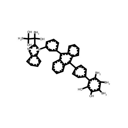 Bc1c(B)c(O)c(O)c(-c2ccc(-c3c4ccccc4c(-c4cccc(-n5c(C(B)(O)C(B)(O)O)nc6ccccc65)c4)c4ccccc34)cc2)c1B